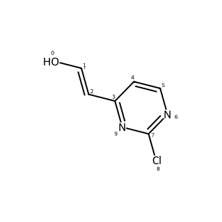 O[C]=Cc1ccnc(Cl)n1